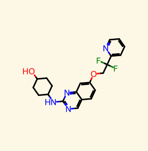 OC1CCC(Nc2ncc3ccc(OCC(F)(F)c4ccccn4)cc3n2)CC1